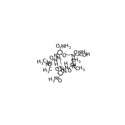 CCn1nc(C)cc1C(=O)Nc1nc2cc(C(N)=O)cc(OCCCNC(=O)C[C@H](N)CO)c2n1CCC[C@H]1COc2cc(C(N)=O)cc3nc(NC(=O)c4cc(C)nn4CC)n1c23